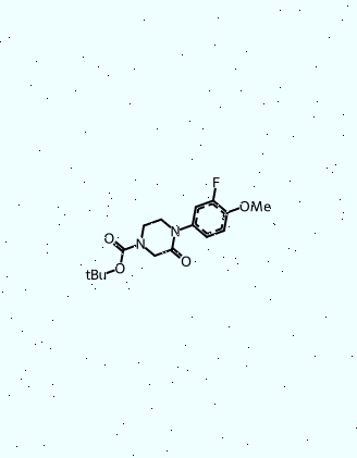 COc1ccc(N2CCN(C(=O)OC(C)(C)C)CC2=O)cc1F